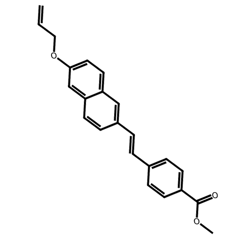 C=CCOc1ccc2cc(C=Cc3ccc(C(=O)OC)cc3)ccc2c1